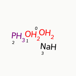 O.O.P.[NaH]